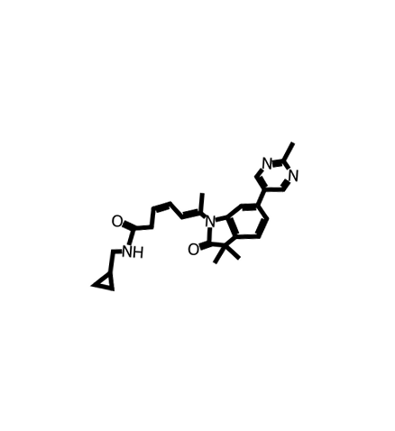 C/C(=C\C=C/CC(=O)NCC1CC1)N1C(=O)C(C)(C)c2ccc(-c3cnc(C)nc3)cc21